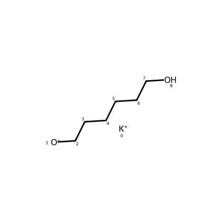 [K+].[O-]CCCCCCO